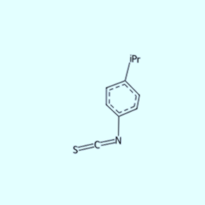 CC(C)c1ccc(N=C=S)cc1